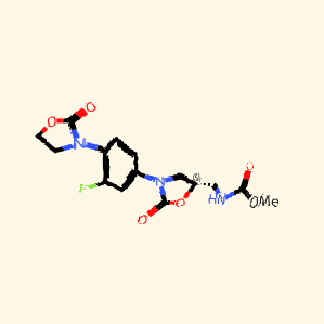 COC(=O)NC[C@H]1CN(c2ccc(N3CCOC3=O)c(F)c2)C(=O)O1